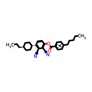 CCCCCC12CCC(C(=O)Oc3ccc([C@H]4CC[C@H](CCC)CC4)c(C#N)c3C#N)(CC1)CC2